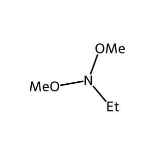 CCN(OC)OC